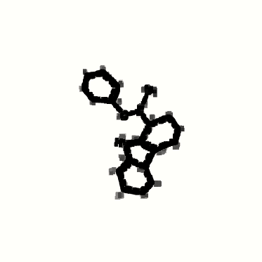 OB(Oc1ccccc1)c1cccc2c1[nH]c1ccccc12